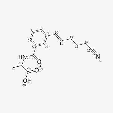 CC(NC(=O)c1cccc(C=CCCCC#N)c1)C(=O)O